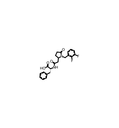 O=C(CC1CCC(=O)N1Cc1cccc(F)c1F)N[C@H](Cc1ccccc1)C(=O)O